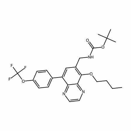 CCCCOc1c(CNC(=O)OC(C)(C)C)cc(-c2ccc(OC(F)(F)F)cc2)c2nccnc12